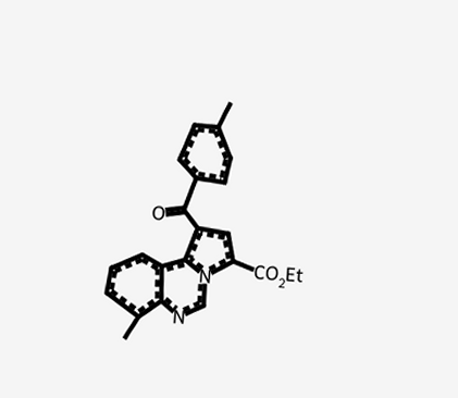 CCOC(=O)c1cc(C(=O)c2ccc(C)cc2)c2c3cccc(C)c3ncn12